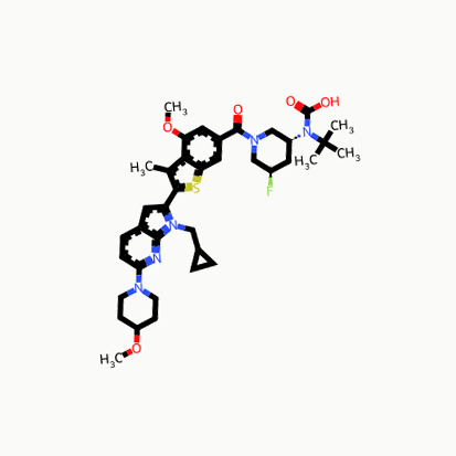 COc1cc(C(=O)N2C[C@H](F)C[C@@H](N(C(=O)O)C(C)(C)C)C2)cc2sc(-c3cc4ccc(N5CCC(OC)CC5)nc4n3CC3CC3)c(C)c12